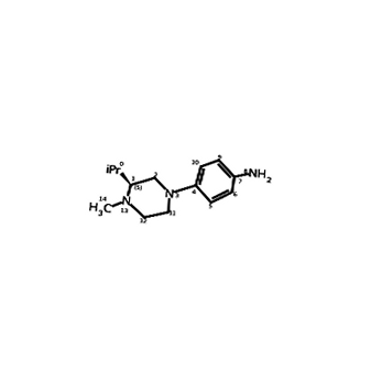 CC(C)[C@H]1CN(c2ccc(N)cc2)CCN1C